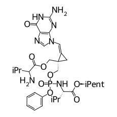 CCC[C@H](C)OC(=O)[C@@H](NP(=O)(OC[C@@]1(COC(=O)C(N)C(C)C)C/C1=C/n1cnc2c(=O)[nH]c(N)nc21)Oc1ccccc1)C(C)C